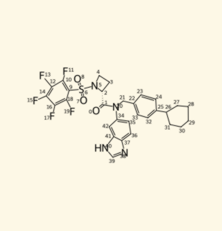 O=C([C@H]1CCN1S(=O)(=O)c1c(F)c(F)c(F)c(F)c1F)N(Cc1ccc(C2CCCCC2)cc1)c1ccc2nc[nH]c2c1